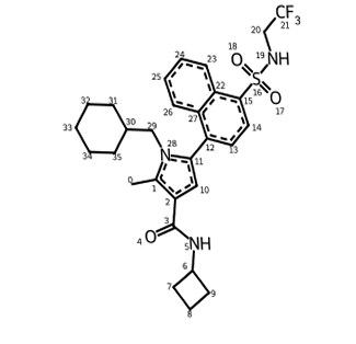 Cc1c(C(=O)NC2CCC2)cc(-c2ccc(S(=O)(=O)NCC(F)(F)F)c3ccccc23)n1CC1CCCCC1